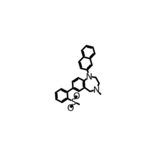 CN1CCN(c2ccc3ccccc3c2)c2ccc(-c3ccccc3S(C)(=O)=O)cc2C1